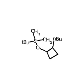 CCCCC1CC[C]1O[Si](C)(C)C(C)(C)C